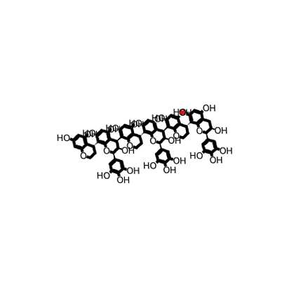 Oc1cc(O)c2c(c1)OCC[C@H]2c1c(O)cc(O)c2c1O[C@H](c1cc(O)c(O)c(O)c1)[C@H](O)[C@@H]2c1c(O)cc(O)c2c1OCC[C@H]2c1c(O)cc(O)c2c1O[C@H](c1cc(O)c(O)c(O)c1)[C@H](O)[C@@H]2c1c(O)cc(O)c2c1OCC[C@H]2c1c(O)cc(O)c2c1O[C@H](c1cc(O)c(O)c(O)c1)[C@H](O)C2